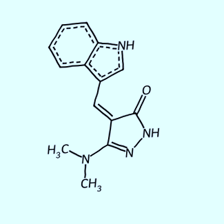 CN(C)C1=NNC(=O)/C1=C\c1c[nH]c2ccccc12